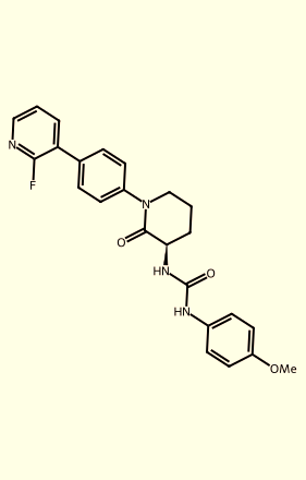 COc1ccc(NC(=O)N[C@@H]2CCCN(c3ccc(-c4cccnc4F)cc3)C2=O)cc1